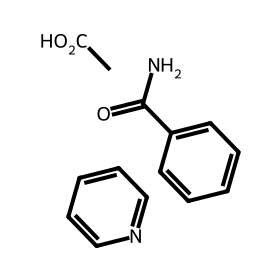 CC(=O)O.NC(=O)c1ccccc1.c1ccncc1